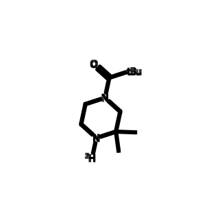 [2H]N1CCN(C(=O)C(C)(C)C)CC1(C)C